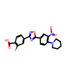 O=C(O)c1ccc(-c2noc(-c3ccc(N4CCCCC4)c([N+](=O)[O-])c3)n2)cc1F